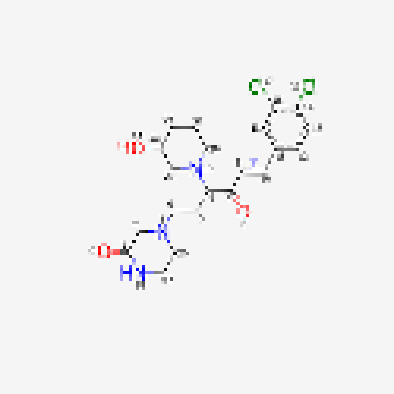 O=C1CN(CCC(C(=O)/C=C/c2ccc(Cl)c(Cl)c2)N2CCCC(O)C2)CCN1